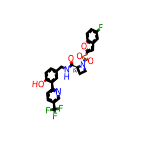 O=C(NCc1ccc(O)c(-c2ccc(C(F)(F)F)cn2)c1)[C@@H]1CCN1S(=O)(=O)c1cc2cc(F)ccc2o1